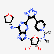 CCN(C=O)[C@H]1O[C@@H](n2cnc3c(N[C@@H]4CCOC4)nc(-c4[nH]nnc4-c4ccncc4)nc32)[C@@H](O)[C@H]1O